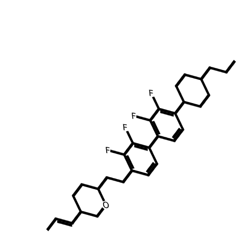 C/C=C/C1CCC(CCc2ccc(-c3ccc(C4CCC(CCC)CC4)c(F)c3F)c(F)c2F)OC1